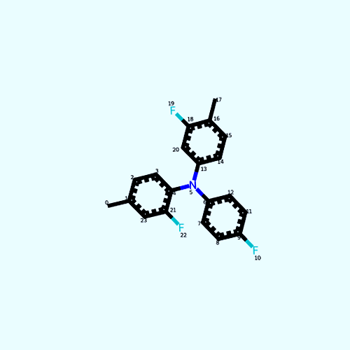 Cc1ccc(N(c2ccc(F)cc2)c2ccc(C)c(F)c2)c(F)c1